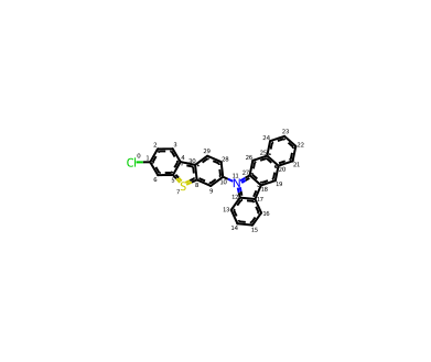 Clc1ccc2c(c1)sc1cc(-n3c4ccccc4c4cc5ccccc5cc43)ccc12